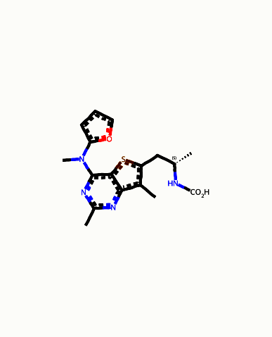 Cc1nc(N(C)c2ccco2)c2sc(C[C@H](C)NC(=O)O)c(C)c2n1